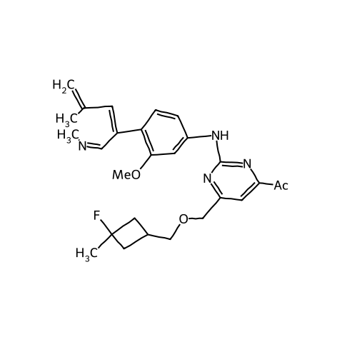 C=C(C)/C=C(\C=N/C)c1ccc(Nc2nc(COCC3CC(C)(F)C3)cc(C(C)=O)n2)cc1OC